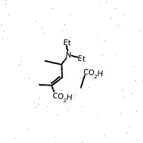 CC(=O)O.CCN(CC)C(C)C=C(C)C(=O)O